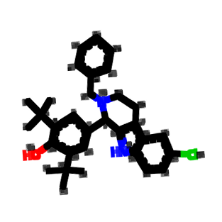 CC(C)(C)c1cc(C2c3[nH]c4ccc(Cl)cc4c3CCN2Cc2ccccc2)cc(C(C)(C)C)c1O